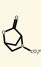 O=C1OC2CC1N(C(=O)O)C2